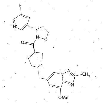 COc1cc(C[C@H]2CC[C@H](C(=O)N3OCC[C@H]3c3cncc(F)c3)CC2)cn2nc(C)nc12